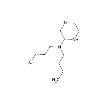 CCCCN(CCCC)C1C[N]CCN1